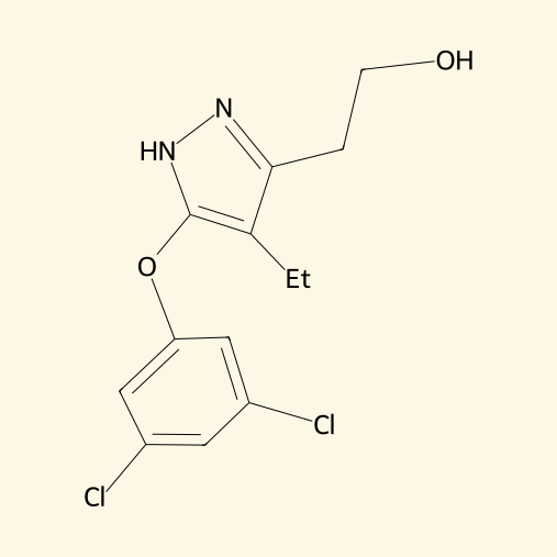 CCc1c(CCO)n[nH]c1Oc1cc(Cl)cc(Cl)c1